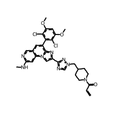 C=CC(=O)N1CCC(Cn2cnc(-c3cn4c(n3)c(-c3c(Cl)c(OC)cc(OC)c3Cl)cc3cnc(NC)cc34)n2)CC1